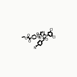 CCOC(=O)C(=O)N1CCN(S(=O)(=O)c2cnc3n2[C@](C)(Cc2ccc(C#N)cc2)C(=O)N3c2cc(Cl)cc(Cl)c2)CC1